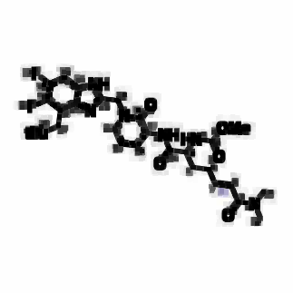 COC(=O)NC(CC/C=C/C(=O)N(C)C)C(=O)Nc1cccn(Cc2nc3c(CC(C)(C)C)c(F)c(F)cc3[nH]2)c1=O